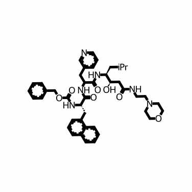 CC(C)C[C@H](NC(=O)C(Cc1cccnc1)NC(=O)[C@H](Cc1cccc2ccccc12)NC(=O)OCc1ccccc1)[C@@H](O)CC(=O)NCCN1CCOCC1